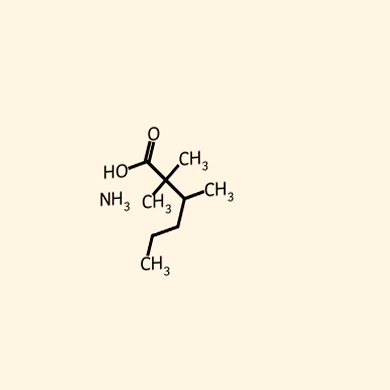 CCCC(C)C(C)(C)C(=O)O.N